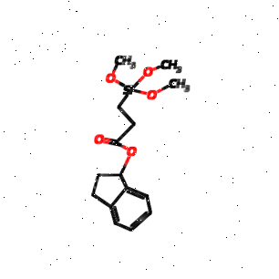 CO[Si](CCC(=O)OC1CCc2ccccc21)(OC)OC